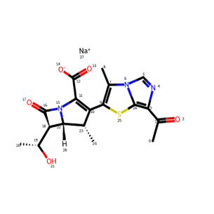 CC(=O)c1ncn2c(C)c(C3=C(C(=O)[O-])N4C(=O)[C@H]([C@@H](C)O)[C@H]4[C@H]3C)sc12.[Na+]